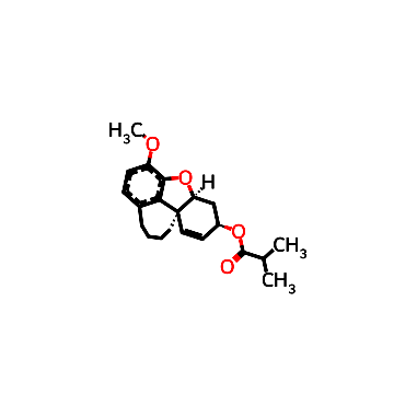 COc1ccc2c3c1O[C@H]1C[C@@H](OC(=O)C(C)C)C=C[C@@]31CCCC2